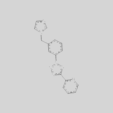 c1ccc(-c2nnn(-c3cccc(Cn4ccnc4)c3)n2)nc1